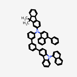 CC1(C)c2cc(N(c3cccc(-c4cccc(-c5ccc6c(c5)c5ccccc5n6-c5cccc6ccccc56)c4)c3)c3ccc(-c4ccccc4)c4ccccc34)ccc2C2C=CC=CC21